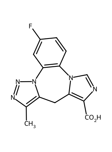 Cc1nnn2c1Cc1c(C(=O)O)ncn1-c1ccc(F)cc1-2